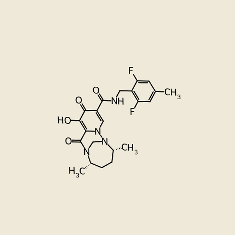 Cc1cc(F)c(CNC(=O)c2cn3c(c(O)c2=O)C(=O)N2CN3[C@H](C)CC[C@@H]2C)c(F)c1